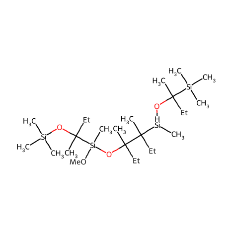 CCC(C)(O[Si](C)(OC)C(C)(CC)O[Si](C)(C)C)C(C)(CC)[SiH](C)OC(C)(CC)[Si](C)(C)C